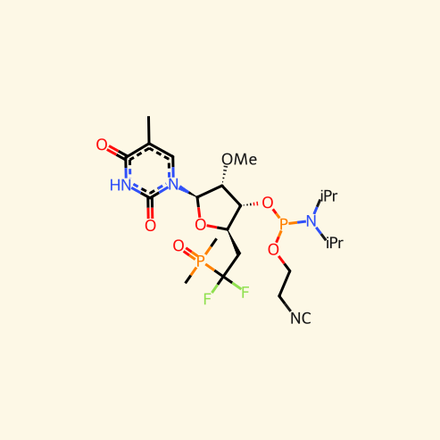 [C-]#[N+]CCOP(O[C@H]1[C@@H](OC)[C@H](n2cc(C)c(=O)[nH]c2=O)O[C@@H]1CC(F)(F)P(C)(C)=O)N(C(C)C)C(C)C